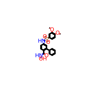 COc1ccc(S(=O)(=O)Nc2ccc(C(=O)NO)c(-c3ccccc3)c2)cc1OC